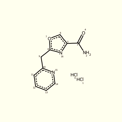 Cl.Cl.NC(=O)c1coc(Cc2ccccn2)n1